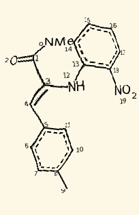 CNC(=O)C(=Cc1ccc(C)cc1)Nc1ccccc1[N+](=O)[O-]